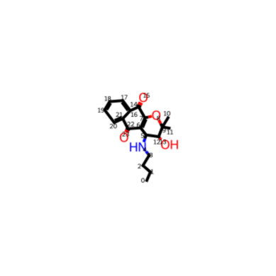 CCCCNC1C2=C(OC(C)(C)C1O)C(=O)c1ccccc1C2=O